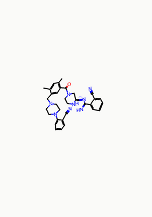 Cc1cc(C)c(C(=O)N2CCN/C(=N\C(=N)c3ccccc3C#N)C2)cc1CN1CCN(c2ccccc2C#N)CC1